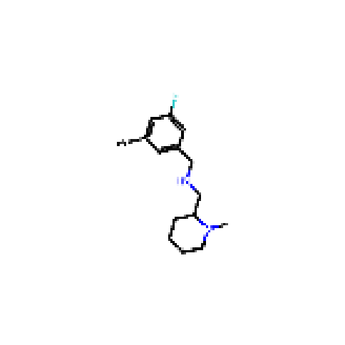 CC(C)c1cc(F)cc(CNCC2CCCCN2C)c1